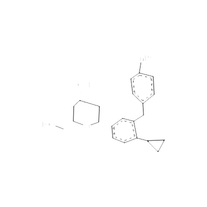 CCCc1ccc(Cc2cc([C@H]3C[C@@H](O)C[C@@H](CO)O3)ccc2C2CC2)cc1